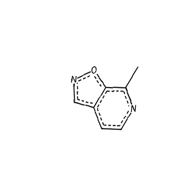 Cc1nccc2cnoc12